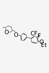 CCOc1ccc(-c2ccc(OCC3CCC(C)OC3)cc2)c(C(F)(F)F)c1F